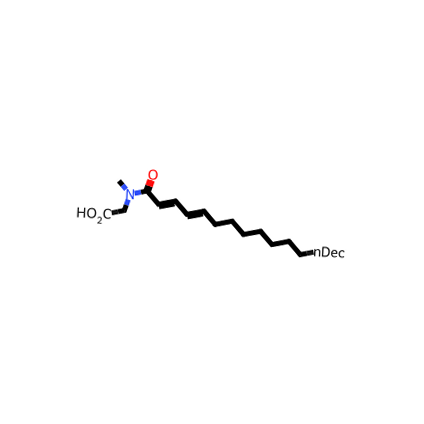 CCCCCCCCCCCCCCCCCC=CC=CC(=O)N(C)CC(=O)O